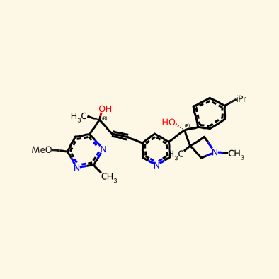 COc1cc([C@](C)(O)C#Cc2cncc([C@@](O)(c3ccc(C(C)C)cc3)C3(C)CN(C)C3)c2)nc(C)n1